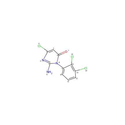 Nc1nc(Cl)cc(=O)n1-c1cccc(Cl)c1Cl